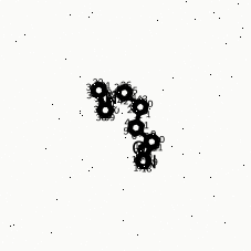 c1cc(-c2cccc(-c3cccc4c3oc3cccnc34)c2)cc(-c2cccc(-n3c4ccccc4c4ccccc43)c2)c1